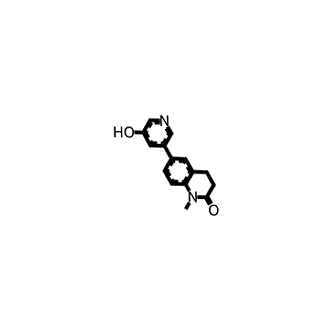 CN1C(=O)CCc2cc(-c3cncc(O)c3)ccc21